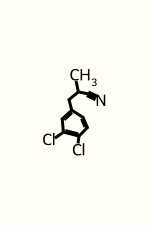 CC(C#N)Cc1ccc(Cl)c(Cl)c1